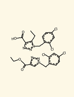 CCOC(=O)c1cn(Cc2ccc(Cl)cc2Cl)nn1.CCc1c(C(=O)O)nnn1Cc1ccc(Cl)cc1Cl